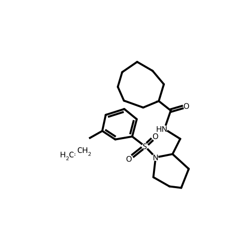 Cc1cccc(S(=O)(=O)N2CCCCC2CNC(=O)[C]2CCCCCCC2)c1.[CH2].[CH2]